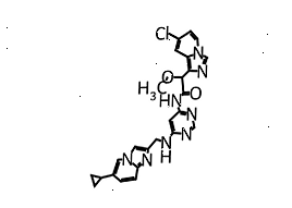 COC(C(=O)Nc1cc(NCc2cn3cc(C4CC4)ccc3n2)ncn1)c1ncn2ccc(Cl)cc12